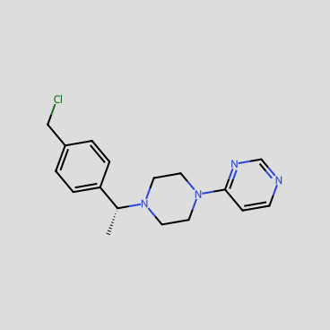 C[C@H](c1ccc(CCl)cc1)N1CCN(c2ccncn2)CC1